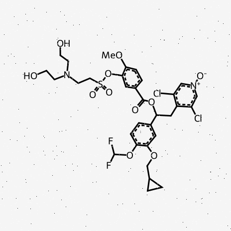 COc1ccc(C(=O)OC(Cc2c(Cl)c[n+]([O-])cc2Cl)c2ccc(OC(F)F)c(OCC3CC3)c2)cc1OS(=O)(=O)CCN(CCO)CCO